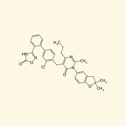 CCCc1nc(C)n(-c2ccc3c(c2)CC(C)(C)O3)c(=O)c1Cc1ccc(-c2ccccc2-c2noc(=O)[nH]2)cc1Cl